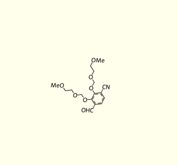 COCCOCOc1c(C#N)ccc(C=O)c1OCOCCOC